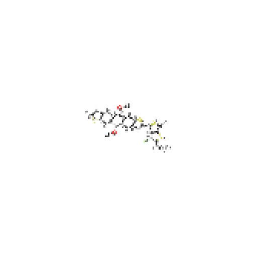 CCOC(=O)c1sc2c(C)sc(-c3cc4cc5c(OCC)c6cc7sc(C)cc7cc6c(OCC)c5cc4s3)c2c1F